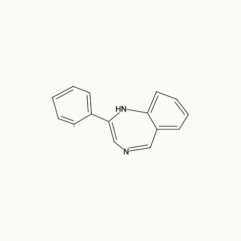 [c]1ccccc1C1=CN=Cc2ccccc2N1